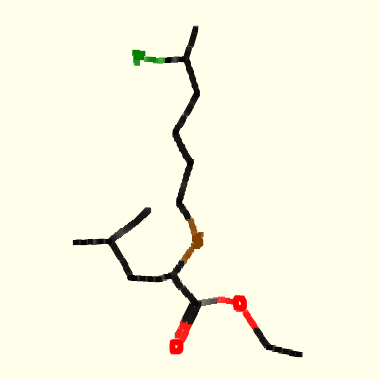 CCOC(=O)C(CC(C)C)SCCCCC(C)F